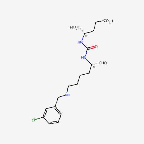 O=C[C@H](CCCCNCc1cccc(Cl)c1)NC(=O)N[C@@H](CCC(=O)O)C(=O)O